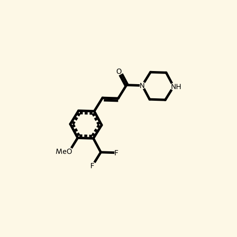 COc1ccc(C=CC(=O)N2CCNCC2)cc1C(F)F